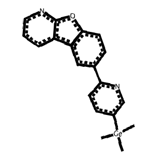 [CH3][Ge]([CH3])([CH3])[c]1ccc(-c2ccc3oc4ncccc4c3c2)nc1